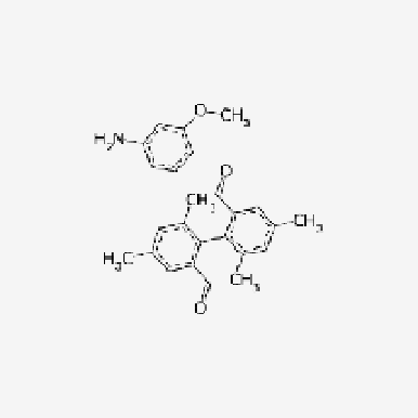 COc1cccc(N)c1.Cc1cc(C)c(-c2c(C)cc(C)cc2C=O)c(C=O)c1